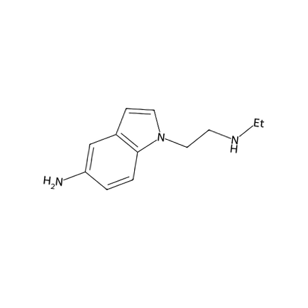 CCNCCn1ccc2cc(N)ccc21